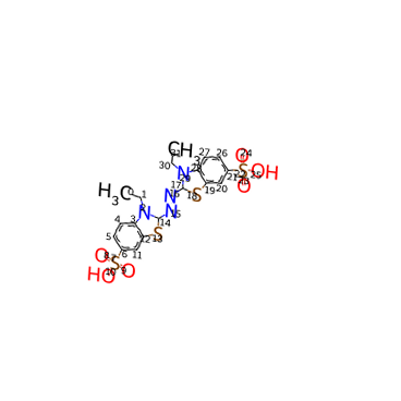 CCN1c2ccc(S(=O)(=O)O)cc2SC1/N=N/C1Sc2cc(S(=O)(=O)O)ccc2N1CC